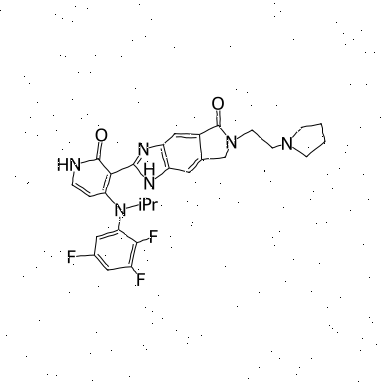 CC(C)N(c1cc(F)cc(F)c1F)c1cc[nH]c(=O)c1-c1nc2cc3c(cc2[nH]1)CN(CCN1CCCC1)C3=O